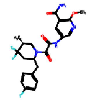 COc1ncc(NC(=O)C(=O)N2C[C@@H](C)C(F)(F)CC2Cc2ccc(F)cc2)cc1C(N)=O